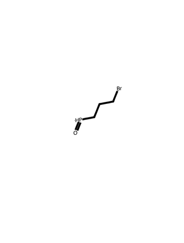 O=[PH]CCCBr